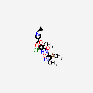 CSc1cc(C)[nH]c(=O)c1CNC(=O)c1cc(Cl)c2c(c1C)OC(C1CCN(CC3CC3)CC1)CO2